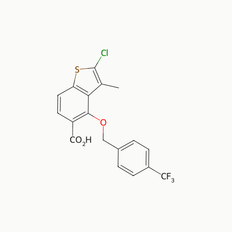 Cc1c(Cl)sc2ccc(C(=O)O)c(OCc3ccc(C(F)(F)F)cc3)c12